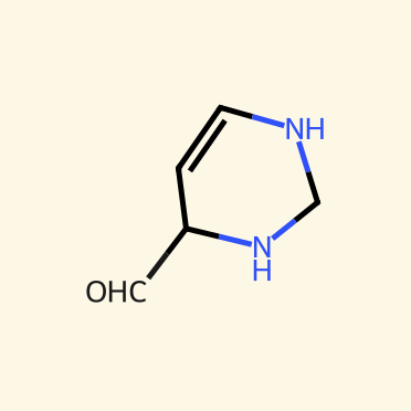 O=CC1C=CNCN1